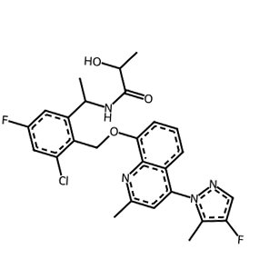 Cc1cc(-n2ncc(F)c2C)c2cccc(OCc3c(Cl)cc(F)cc3C(C)NC(=O)C(C)O)c2n1